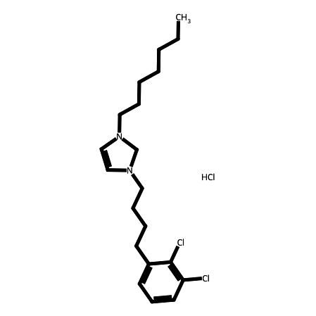 CCCCCCCN1C=CN(CCCCc2cccc(Cl)c2Cl)C1.Cl